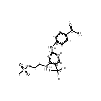 CS(=O)(=O)NCCNc1nc(Nc2ccc(C(N)=O)cc2)ncc1C(F)(F)F